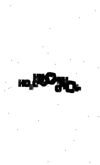 CN1CCN(C(=O)Nc2ccc3[nH]c(C(=O)O)cc3c2)CC1